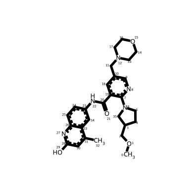 COCC1CCN(c2ncc(CN3CCOCC3)cc2C(=O)Nc2ccc3nc(O)cc(C)c3c2)C1